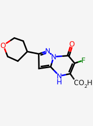 O=C(O)c1[nH]c2cc(C3CCOCC3)nn2c(=O)c1F